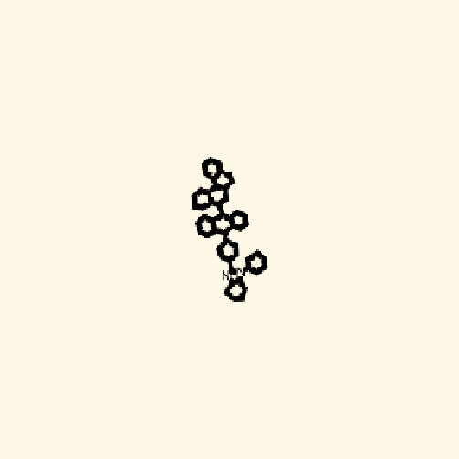 c1ccc(-n2c(-c3ccc(-c4c5ccccc5c(-c5cc6ccc7ccccc7c6c6ccccc56)c5ccccc45)cc3)nc3ccccc32)cc1